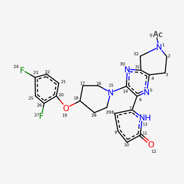 CC(=O)N1CCc2nc(-c3cccc(=O)[nH]3)c(N3CCC(Oc4ccc(F)cc4F)CC3)nc2C1